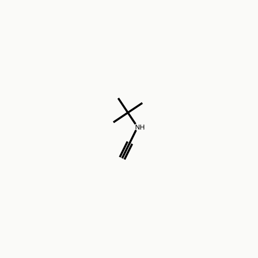 C#CNC(C)(C)C